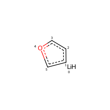 [LiH].c1ccoc1